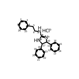 Cl.c1ccc(CCNC2=NC(c3ccccc3)C(c3ccccc3)N2)cc1